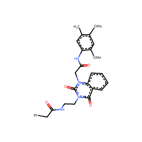 COc1cc(OC)c(NC(=O)Cn2c(=O)n(CCNC(=O)CC(C)C)c(=O)c3ccccc32)cc1C